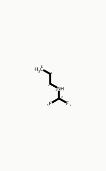 CCCNC(F)F